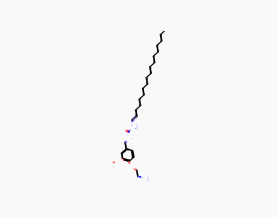 CCCCCCCCCCCCCCCC/C=C/NC(=O)NCc1ccc(OCCN)c(OC)c1